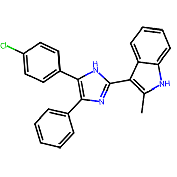 Cc1[nH]c2ccccc2c1-c1nc(-c2ccccc2)c(-c2ccc(Cl)cc2)[nH]1